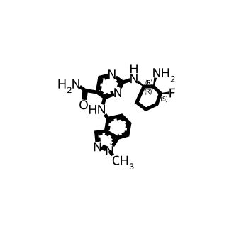 Cn1ncc2c(Nc3nc(N[C@@H]4CCC[C@H](F)[C@@H]4N)ncc3C(N)=O)cccc21